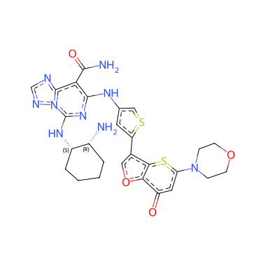 NC(=O)c1c(Nc2csc(-c3coc4c(=O)cc(N5CCOCC5)sc34)c2)nc(N[C@H]2CCCC[C@H]2N)n2ncnc12